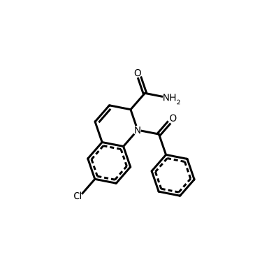 NC(=O)C1C=Cc2cc(Cl)ccc2N1C(=O)c1ccccc1